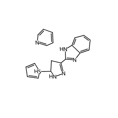 C1=C[SH](C2CC(c3nc4ccccc4[nH]3)=NN2)C=C1.c1ccncc1